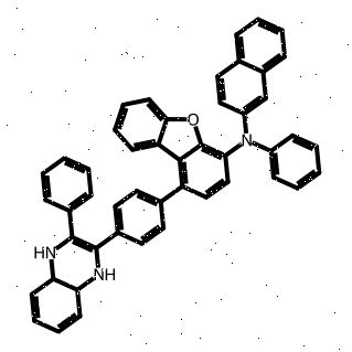 C1=CC2NC(c3ccccc3)=C(c3ccc(-c4ccc(N(c5ccccc5)c5ccc6ccccc6c5)c5oc6ccccc6c45)cc3)NC2C=C1